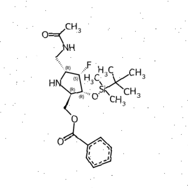 CC(=O)NC[C@H]1N[C@H](COC(=O)c2ccccc2)[C@@H](O[Si](C)(C)C(C)(C)C)[C@H]1F